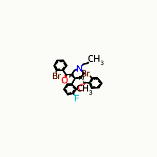 CCCN1C[C@H](C(=O)c2ccccc2Br)C(c2cccc(F)c2C)[C@@H](C(=O)c2ccccc2Br)C1